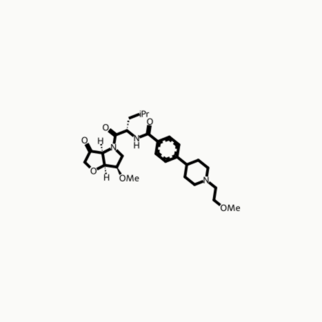 COCCN1CCC(c2ccc(C(=O)N[C@@H](CC(C)C)C(=O)N3C[C@@H](OC)[C@H]4OCC(=O)[C@H]43)cc2)CC1